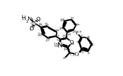 CC(Oc1cccc(F)c1)c1nc(-c2ccc(S(N)(=O)=O)cc2)c(-c2ccccc2)o1